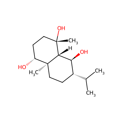 CC(C)[C@@H]1CC[C@@]2(C)[C@H](O)CC[C@](C)(O)[C@@H]2[C@H]1O